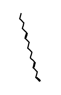 [CH]=CCC=CCCCCC=CCCCC